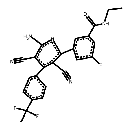 CCNC(=O)c1cc(F)cc(-c2nc(N)c(C#N)c(-c3ccc(C(F)(F)F)cc3)c2C#N)c1